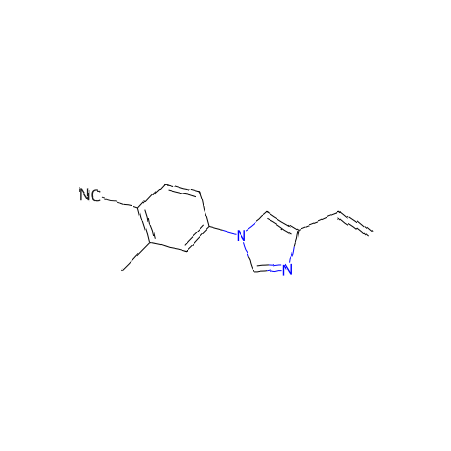 C=Cc1cn(-c2ccc(C#N)c(C)c2)cn1